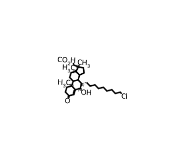 C[C@]1(CC(=O)O)CCC2C3C(CC[C@@]21C)[C@@]1(C)CCC(=O)C=C1[C@H](O)[C@H]3CCCCCCCCCCl